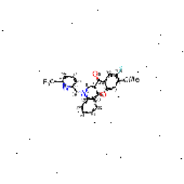 COc1ccc(C(=O)c2cn(Cc3cccc(C(F)(F)F)n3)c3ccccc3c2=O)cc1F